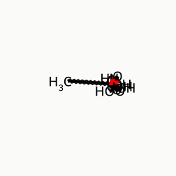 CCCCCCCCCCCCCCCCCCCCCC(=O)[C@@]1(n2ccc(=O)[nH]c2=O)O[C@H](CO)[C@@H](OP(=O)(O)O)[C@H]1O